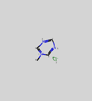 C[n+]1cncnc1.[Cl-]